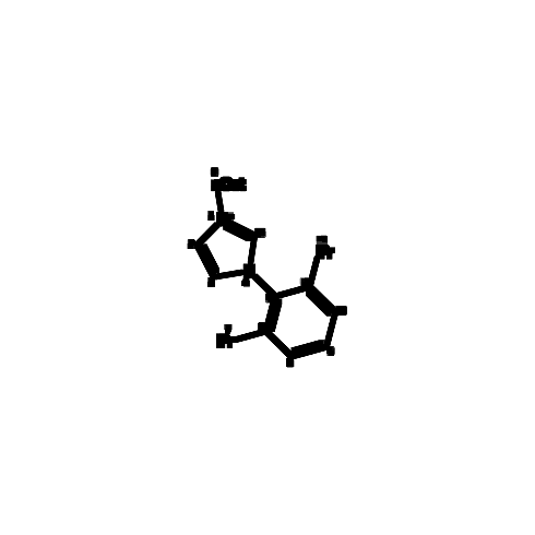 CCCCCCCC[n+]1ccn(-c2c(C(C)C)cccc2C(C)C)c1